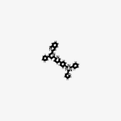 c1ccc(-c2cc(-c3ccc(-c4ccc(-c5nc(-c6ccccc6)nc(-c6ccccc6)n5)cc4)cn3)nc(-c3cc4ccccc4cn3)c2)cc1